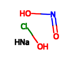 O=NO.OCl.[NaH]